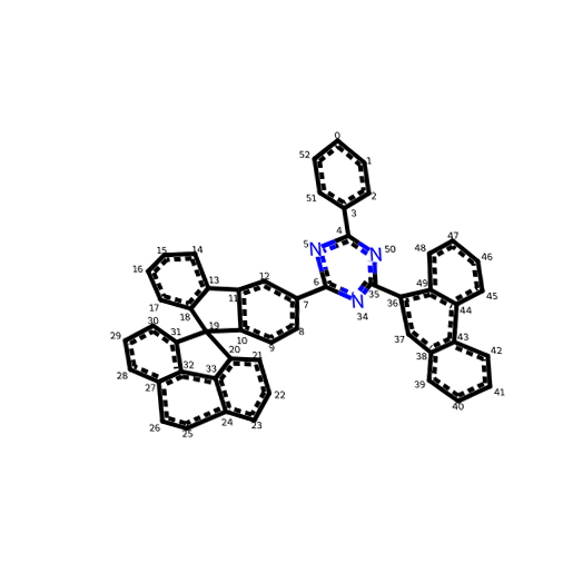 c1ccc(-c2nc(-c3ccc4c(c3)-c3ccccc3C43c4cccc5ccc6cccc3c6c45)nc(-c3cc4ccccc4c4ccccc34)n2)cc1